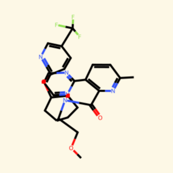 COCC1C2CCC(C(Oc3ccc(C(F)(F)F)cn3)C2)N1C(=O)c1nc(C)ccc1-c1ncccn1